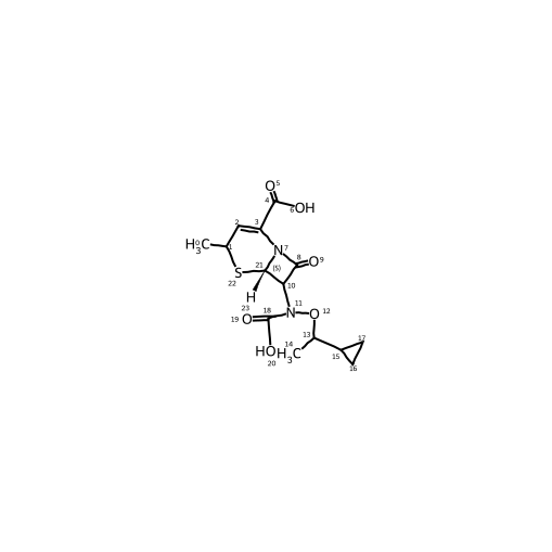 CC1C=C(C(=O)O)N2C(=O)C(N(OC(C)C3CC3)C(=O)O)[C@@H]2S1